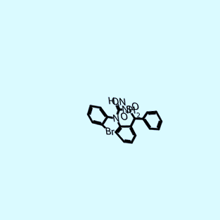 NC(=O)N(c1ccccc1Br)c1ccccc1C(c1ccccc1)S(N)(=O)=O